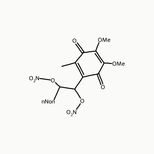 CCCCCCCCCC(O[N+](=O)[O-])C(O[N+](=O)[O-])C1=C(C)C(=O)C(OC)=C(OC)C1=O